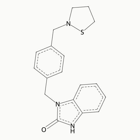 O=c1[nH]c2ccccc2n1Cc1ccc(CN2CCCS2)cc1